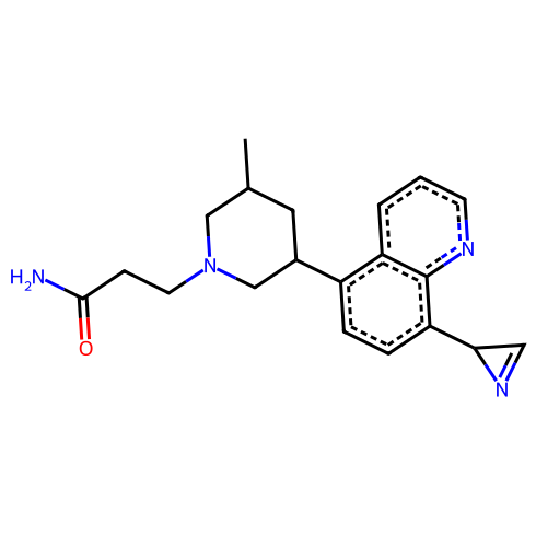 CC1CC(c2ccc(C3C=N3)c3ncccc23)CN(CCC(N)=O)C1